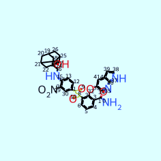 NC(=O)c1cccc(S(=O)(=O)c2ccc(NCC34CC5CC(C3)C(O)C(C5)C4)c([N+](=O)[O-])c2)c1Oc1cnc2[nH]ccc2c1